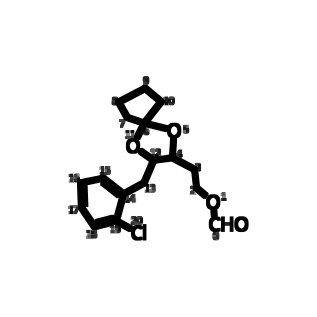 O=COCCC1OC2(CCCC2)OC1Cc1ccccc1Cl